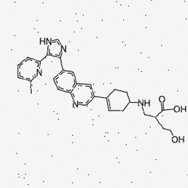 Cc1cccc(-c2[nH]cnc2-c2ccc3ncc(C4=CCC(NCC(CCO)C(=O)O)CC4)cc3c2)n1